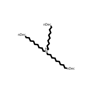 CCCCCCCCCCCCCCCCCCC[SiH](CCCCCCCCCCCCCCCCCCC)CCCCCCCCCCCCCCCCCCC